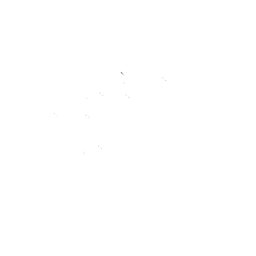 C=CC(=O)N1CCN(c2nc(=O)n(-c3ncccc3C(C)C)c3nc(-c4ccccc4F)c(Cl)cc23)[C@@H](C)C1